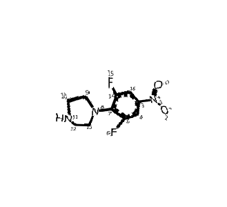 O=[N+]([O-])c1cc(F)c(N2CCNCC2)c(F)c1